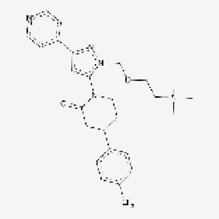 C[Si](C)(C)CCOCn1nc(-c2ccncc2)cc1N1CCC(c2ccc(C(F)(F)F)cc2)CC1=O